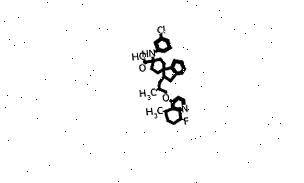 C[C@@H](COc1ccnc2c1[C@@H](C)CC[C@H]2F)CC1Cc2ccccc2C12CCC(Nc1cccc(Cl)c1)(C(=O)O)CC2